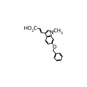 Cn1cc(C=CC(=O)O)c2ccc(OCc3ccccc3)cc21